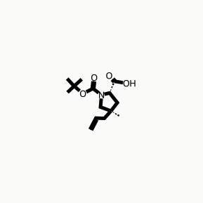 C=CC[C@]1(C)C[C@@H](C(=O)O)N(C(=O)OC(C)(C)C)C1